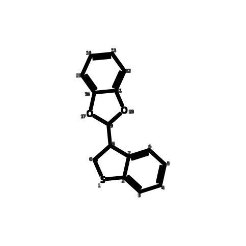 [C]1Sc2ccccc2C1C1Oc2ccccc2O1